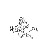 CCCCCC(C)C(C)c1cc(O)c2c(c1)OC(C)(C)C1=C2CN(C(N)=NO)CC1